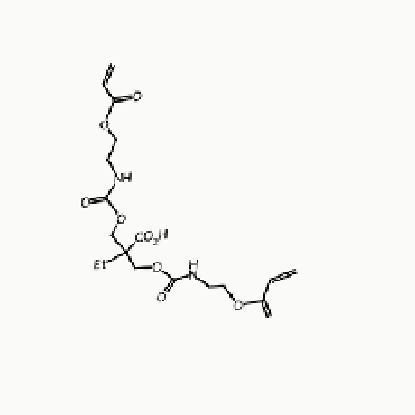 C=CC(=C)OCCNC(=O)OCC(CC)(COC(=O)NCCOC(=O)C=C)C(=O)O